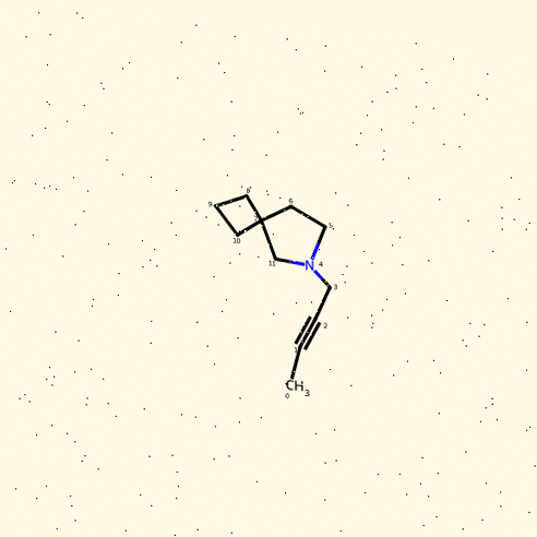 CC#CCN1CCC2(CCC2)C1